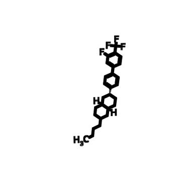 CCCCC1CC[C@@H]2C[C@H](c3ccc(-c4ccc(C(F)(F)F)c(F)c4)cc3)CC[C@@H]2C1